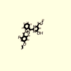 CCOc1cc(F)c(Cn2nc(-c3nc(O)cc(COC)n3)c3ccccc32)c(F)c1